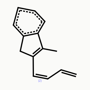 C=C/C=C\C1=C(C)c2ccccc2C1